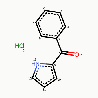 Cl.O=C(c1ccccc1)c1ccc[nH]1